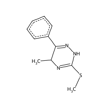 CSC1=NC(C)C(c2ccccc2)=NN1